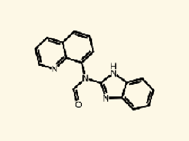 O=CN(c1nc2ccccc2[nH]1)c1cccc2cccnc12